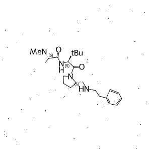 CN[C@@H](C)C(=O)N[C@H](C(=O)N1CCC[C@H]1CNCCc1ccccc1)C(C)(C)C